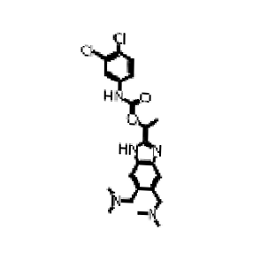 CC(OC(=O)Nc1ccc(Cl)c(Cl)c1)c1nc2cc(CN(C)C)c(CN(C)C)cc2[nH]1